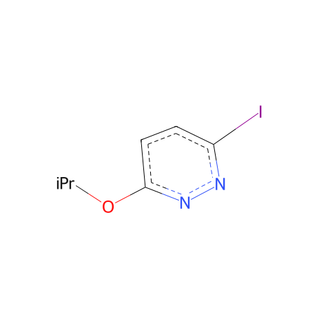 CC(C)Oc1ccc(I)nn1